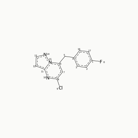 Fc1ccc(Cc2cc(Cl)nc3ccnn23)cc1